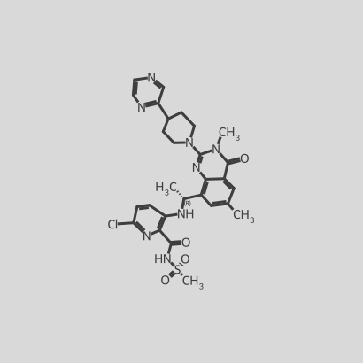 Cc1cc([C@@H](C)Nc2ccc(Cl)nc2C(=O)NS(C)(=O)=O)c2nc(N3CCC(c4cnccn4)CC3)n(C)c(=O)c2c1